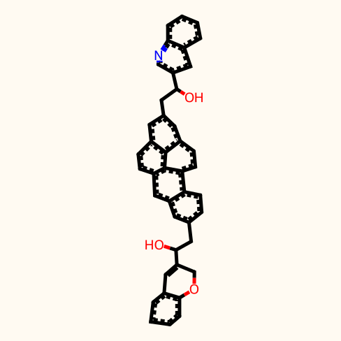 OC(Cc1ccc2c(c1)cc1ccc3cc(CC(O)c4cnc5ccccc5c4)cc4ccc2c1c34)C1=Cc2ccccc2OC1